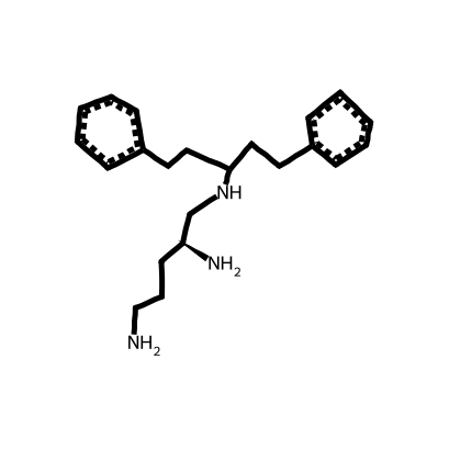 NCCC[C@H](N)CNC(CCc1ccccc1)CCc1ccccc1